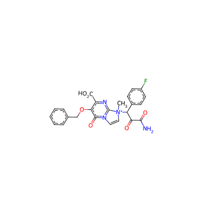 C[N+]1(C(C(=O)C(N)=O)c2ccc(F)cc2)C=Cn2c1nc(C(=O)O)c(OCc1ccccc1)c2=O